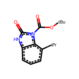 CC(C)c1cccc2[nH]c(=O)n(C(=O)OC(C)(C)C)c12